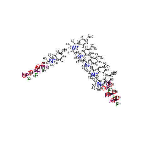 C=Cc1ccc(C[N+](CC)(CC)CC)cc1.C=Cc1ccc(C[N+](CC)(CC)CC)cc1.C=Cc1ccc(C[N+](CC)(CC)CC)cc1.C=Cc1ccc(C[N+](CC)(CC)CC)cc1.C=Cc1ccc(C[N+](CC)(CC)CC)cc1.C=Cc1ccc(C[N+](CC)(CC)CC)cc1.O=[PH]([O-])F.O=[PH]([O-])F.O=[PH]([O-])F.O=[PH]([O-])F.O=[PH]([O-])F.O=[PH]([O-])F